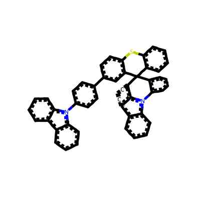 c1ccc2c(c1)Sc1ccc(-c3ccc(-n4c5ccccc5c5ccccc54)cc3)cc1C21c2ccccc2-n2c3ccccc3c3cccc1c32